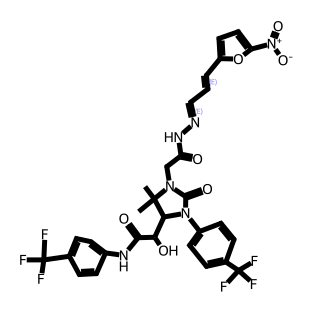 CC1(C)C(C(O)C(=O)Nc2ccc(C(F)(F)F)cc2)N(c2ccc(C(F)(F)F)cc2)C(=O)N1CC(=O)N/N=C/C=C/c1ccc([N+](=O)[O-])o1